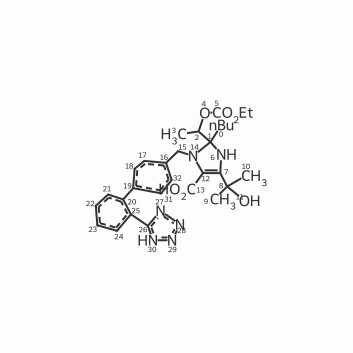 CCCCC1(C(C)OC(=O)OCC)NC(C(C)(C)O)=C(C(=O)O)N1Cc1ccc(-c2ccccc2-c2nnn[nH]2)cc1